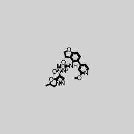 COc1cc(-c2ccc3c(c2NC(=O)N=S(N)(=O)c2cnn4c2OC(C)C4)CCO3)ccn1